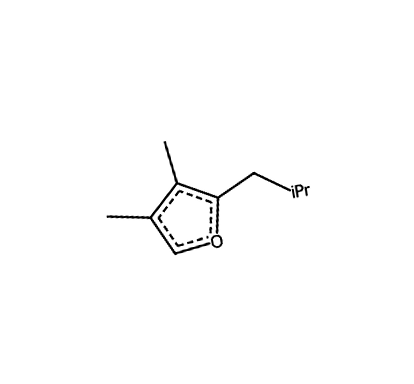 Cc1coc(CC(C)C)c1C